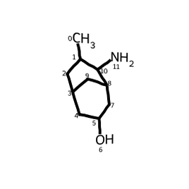 CC1CC2CC(O)CC(C2)C1N